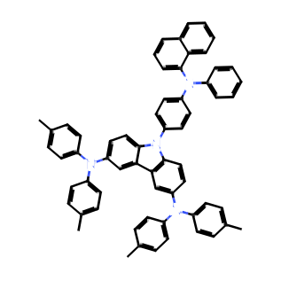 Cc1ccc(N(c2ccc(C)cc2)c2ccc3c(c2)c2cc(N(c4ccc(C)cc4)c4ccc(C)cc4)ccc2n3-c2ccc(N(c3ccccc3)c3cccc4ccccc34)cc2)cc1